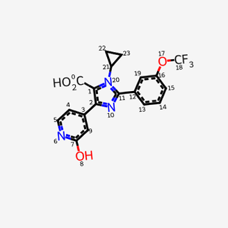 O=C(O)c1c(-c2ccnc(O)c2)nc(-c2cccc(OC(F)(F)F)c2)n1C1CC1